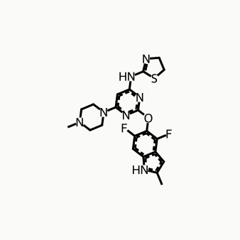 Cc1cc2c(F)c(Oc3nc(NC4=NCCS4)cc(N4CCN(C)CC4)n3)c(F)cc2[nH]1